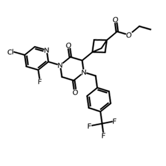 CCOC(=O)C12CC(C3C(=O)N(c4ncc(Cl)cc4F)CC(=O)N3Cc3ccc(C(F)(F)F)cc3)(C1)C2